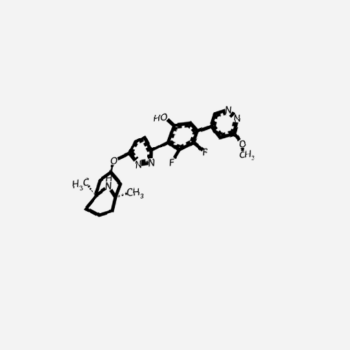 COc1cc(-c2cc(O)c(-c3ccc(O[C@@H]4C[C@]5(C)CCC[C@](C)(C4)N5)nn3)c(F)c2F)cnn1